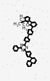 CC(C)(C)c1cccc2c1oc1c(-c3ccc(-c4ccc(-c5nc(-c6ccccc6)nc(-c6ccc(-c7cccc8ccccc78)cc6)n5)cc4)cc3)cccc12